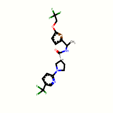 CC(NC(=O)[C@@H]1CCN(c2ccc(C(F)(F)F)cn2)C1)c1ccc(OCC(F)(F)F)s1